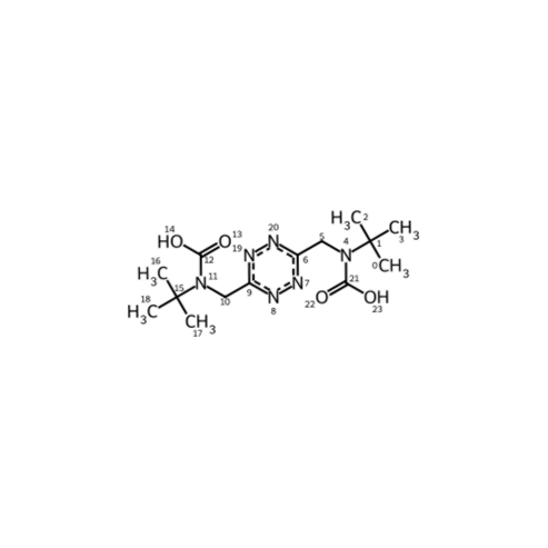 CC(C)(C)N(Cc1nnc(CN(C(=O)O)C(C)(C)C)nn1)C(=O)O